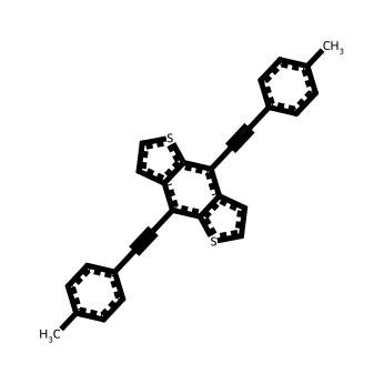 Cc1ccc(C#Cc2c3ccsc3c(C#Cc3ccc(C)cc3)c3ccsc23)cc1